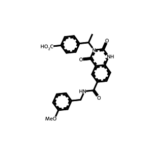 COc1cccc(CNC(=O)c2ccc3[nH]c(=O)n(C(C)c4ccc(C(=O)O)cc4)c(=O)c3c2)c1